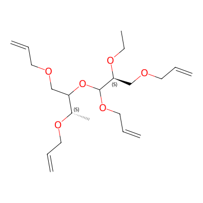 C=CCOCC(OC(OCC=C)[C@H](COCC=C)OCC)[C@H](C)OCC=C